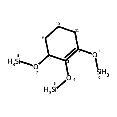 [SiH3]OC1=C(O[SiH3])C(O[SiH3])CCC1